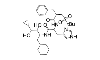 CC(C)(C)S(=O)(=O)CC(Cc1ccccc1)C(=O)NC(Cc1c[nH]cn1)C(=O)NC(CC1CCCCC1)C(O)C(O)C1CC1